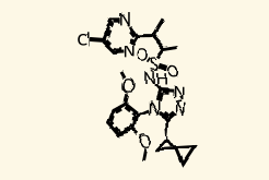 COc1cccc(OC)c1-n1c(NS(=O)(=O)C(C)C(C)c2ncc(Cl)cn2)nnc1[C@@H]1CC12CC2